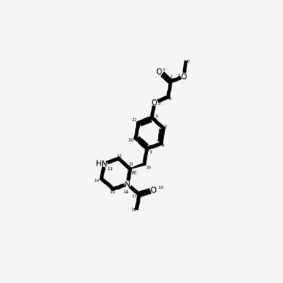 COC(=O)COc1ccc(C[C@@H]2CNCCN2C(C)=O)cc1